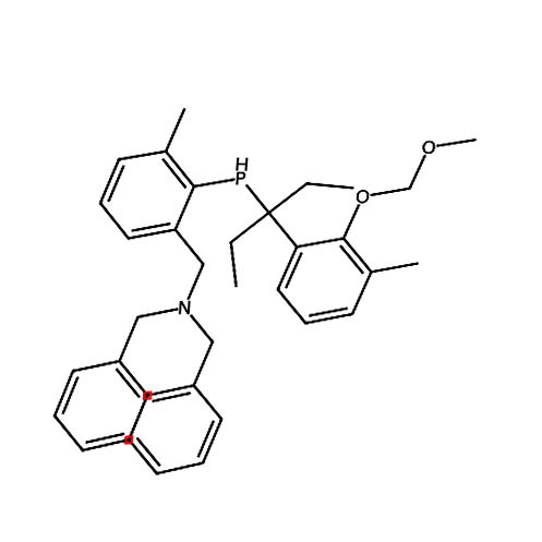 CCC(CC)(Pc1c(C)cccc1CN(Cc1ccccc1)Cc1ccccc1)c1cccc(C)c1OCOC